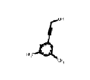 Cc1cc(C#CCO)cc(C(F)(F)F)c1